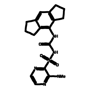 CNc1nccnc1S(=O)(=O)NC(=O)Nc1c2c(cc3c1CCC3)CCC2